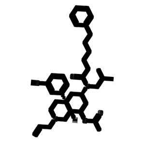 C=CCN1CC[C@@]2(c3cccc(O)c3)C[C@@H](N(CC(C)C)C(=O)CCCCCc3ccccc3)CC(OC(C)=O)[C@@H]2C1